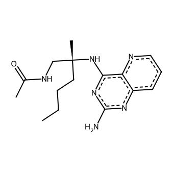 CCCC[C@](C)(CNC(C)=O)Nc1nc(N)nc2cccnc12